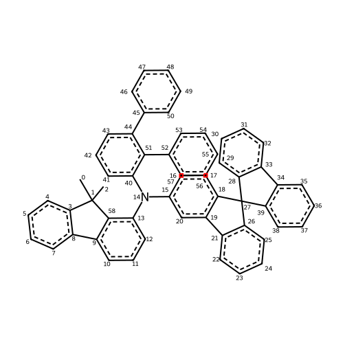 CC1(C)c2ccccc2-c2cccc(N(c3ccc4c(c3)-c3ccccc3C43c4ccccc4-c4ccccc43)c3cccc(-c4ccccc4)c3-c3ccccc3)c21